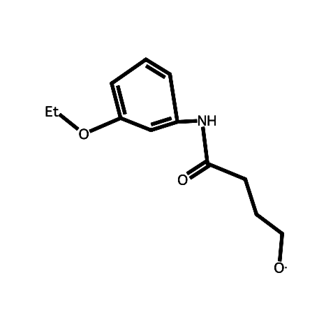 CCOc1cccc(NC(=O)CCC[O])c1